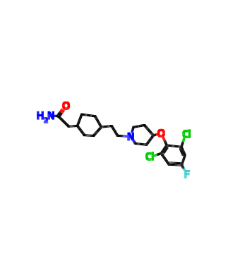 NC(=O)CC1CCC(CCN2CCC(Oc3c(Cl)cc(F)cc3Cl)CC2)CC1